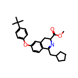 COC(=O)C1Cc2cc(Oc3ccc(C(C)(C)C)cc3)ccc2C(CC2CCCC2)=N1